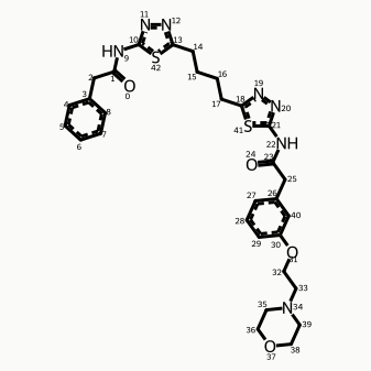 O=C(Cc1ccccc1)Nc1nnc(CCCCc2nnc(NC(=O)Cc3cccc(OCCN4CCOCC4)c3)s2)s1